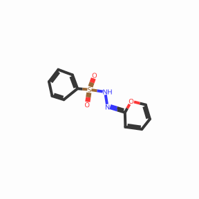 O=S(=O)(NN=c1cccco1)c1ccccc1